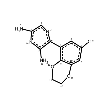 Nc1cnc(-c2cc(Cl)cc3c2OCCO3)c(N)n1